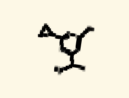 CC(C)c1cc(C(C)I)nc(C2CC2)n1